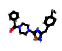 Cc1ccc(Cc2nsc(N3CCN(C(=O)c4ccccc4)CC3)n2)cc1